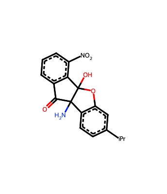 CC(C)c1ccc2c(c1)OC1(O)c3c(cccc3[N+](=O)[O-])C(=O)C21N